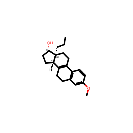 CCC[C@]12CCC3=C(CCc4cc(OC)ccc43)[C@@H]1CC[C@@H]2O